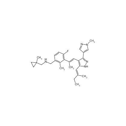 CC/C(C)=C/c1[nH]nc(-c2cnn(C)c2)c1/C=C(\C)c1c(F)ccc(CNCC2(C)CC2)c1C